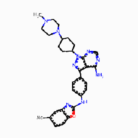 CN1CCN(C2CCC(n3nc(-c4ccc(Nc5nc6cc(C#N)ccc6o5)cc4)c4c(N)ncnc43)CC2)CC1